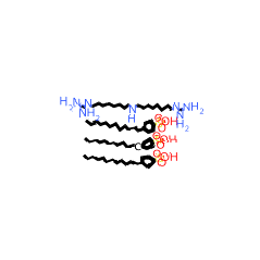 CCCCCCCCCCCCc1ccc(S(=O)(=O)O)cc1.CCCCCCCCCCCCc1ccc(S(=O)(=O)O)cc1.CCCCCCCCCCCCc1ccc(S(=O)(=O)O)cc1.NC(N)=NCCCCCCCCNCCCCCCCCN=C(N)N